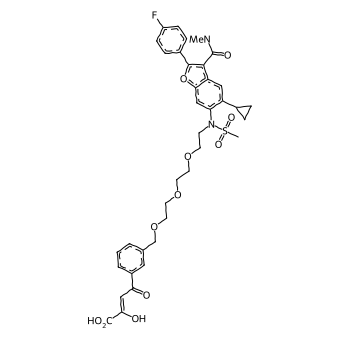 CNC(=O)c1c(-c2ccc(F)cc2)oc2cc(N(CCOCCOCCOCc3cccc(C(=O)/C=C(\O)C(=O)O)c3)S(C)(=O)=O)c(C3CC3)cc12